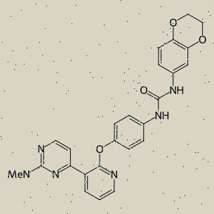 CNc1nccc(-c2cccnc2Oc2ccc(NC(=O)Nc3ccc4c(c3)OCCO4)cc2)n1